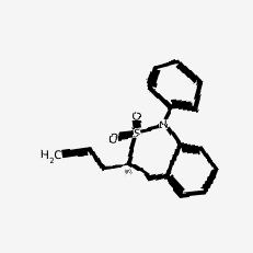 C=CC[C@@H]1Cc2ccccc2N(c2ccccc2)S1(=O)=O